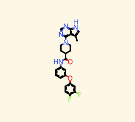 Cc1c[nH]c2ncnc(N3CCC(C(=O)Nc4cccc(Oc5ccc(F)c(F)c5)c4)CC3)c12